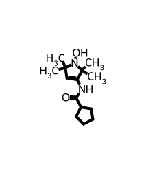 CC1(C)C=C(NC(=O)C2CCCC2)C(C)(C)N1O